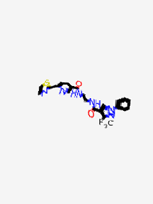 O=C(NCCNC(=O)c1cn(-c2ccccc2)nc1C(F)(F)F)c1ccc(-c2nccs2)nc1